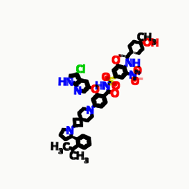 CC(C)c1ccccc1[C@H]1CCCN1C1CC2(CCN(c3ccc(C(=O)NS(=O)(=O)c4cc5c(c([N+](=O)[O-])c4)N[C@@H]([C@H]4CC[C@](C)(O)CC4)CO5)c(Oc4cnc5[nH]cc(Cl)c5c4)c3)CC2)C1